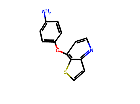 Nc1ccc(Oc2ccnc3ccsc23)cc1